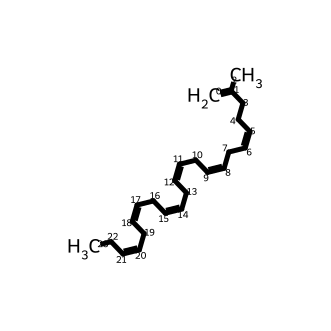 C=C(C)CC/C=C\C/C=C\C/C=C\C/C=C\C/C=C\C/C=C\CC